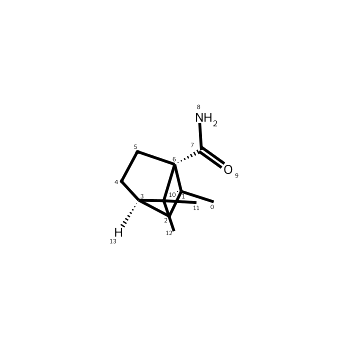 C[C]1C[C@H]2CC[C@]1(C(N)=O)C2(C)C